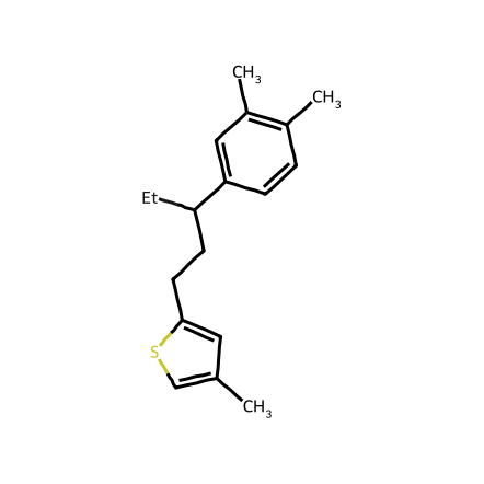 CCC(CCc1cc(C)cs1)c1ccc(C)c(C)c1